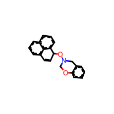 C1=CC(ON2COc3ccccc3C2)c2cccc3cccc1c23